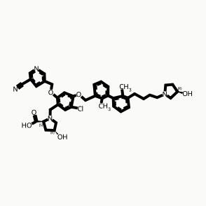 Cc1c(CCCCN2CC[C@@H](O)C2)cccc1-c1cccc(COc2cc(OCc3cncc(C#N)c3)c(CN3C[C@H](O)C[C@H]3C(=O)O)cc2Cl)c1C